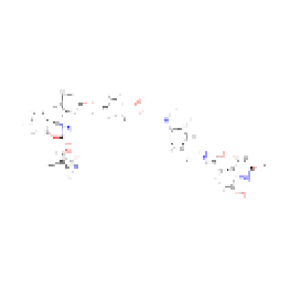 CN(CCOC(=O)c1ccc(COc2cccc(C(NC(=O)O[C@H]3CN4CCC3CC4)c3ccccc3)c2)cc1)c1ccc(CNC[C@@H](O)c2ccc(O)c3[nH]c(=O)ccc23)cc1